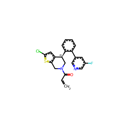 C=CC(=O)N1Cc2sc(Cl)cc2[C@@H](c2ccccc2-c2cncc(F)c2)C1